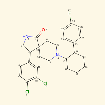 O=C1NCC(c2ccc(Cl)c(Cl)c2)C12CCN(C1CCCCC1c1ccc(F)cc1)CC2